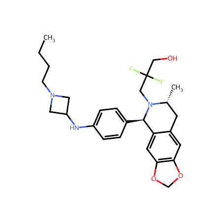 CCCCN1CC(Nc2ccc([C@@H]3c4cc5c(cc4C[C@@H](C)N3CC(F)(F)CO)OCO5)cc2)C1